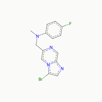 CN(Cc1cn2c(Br)cnc2cn1)c1ccc(F)cc1